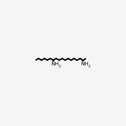 CCCCCCC(N)CCCCCCCCCC(C)N